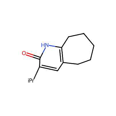 CC(C)c1cc2c([nH]c1=O)CCCCC2